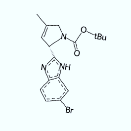 CC1=C[C@@H](c2nc3ccc(Br)cc3[nH]2)N(C(=O)OC(C)(C)C)C1